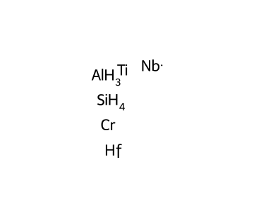 [AlH3].[Cr].[Hf].[Nb].[SiH4].[Ti]